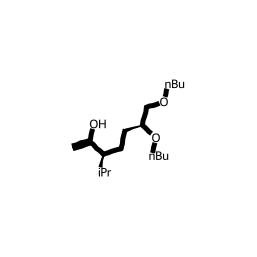 C=C(O)[C@@H](CC[C@@H](COCCCC)OCCCC)C(C)C